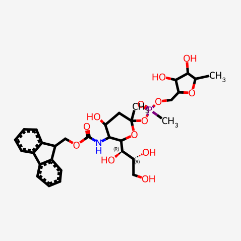 CC1OC(COP(C)(=O)OC2(C)CC(O)C(NC(=O)OCC3c4ccccc4-c4ccccc43)C([C@H](O)[C@H](O)CO)O2)C(O)C1O